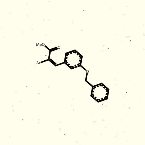 COC(=O)C(=Cc1cccc(OCc2ccccc2)c1)C(C)=O